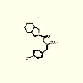 O=C(O)/C(=C/c1ccc(Cl)cc1)CC(=O)N1CC2CCCCC2C1